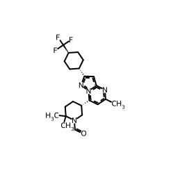 Cc1cc([C@H]2CCC(C)(C)N(C=O)C2)n2nc([C@H]3CC[C@H](C(F)(F)F)CC3)cc2n1